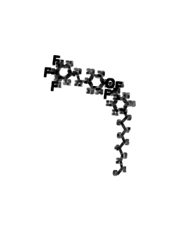 CCCCCCCCCCc1ccc(C(F)(F)Oc2ccc(CCc3cc(F)c(F)c(F)c3)cc2)cc1